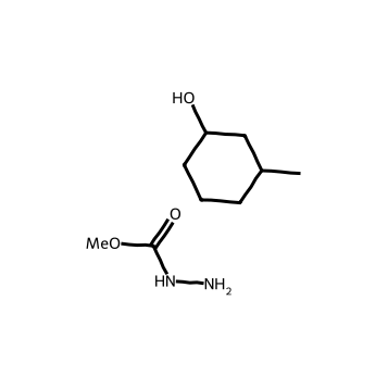 CC1CCCC(O)C1.COC(=O)NN